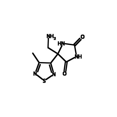 Cc1nsnc1C1(CN)NC(=O)NC1=O